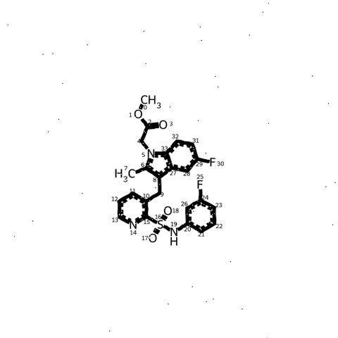 COC(=O)Cn1c(C)c(Cc2cccnc2S(=O)(=O)Nc2cccc(F)c2)c2cc(F)ccc21